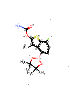 CC1(C)OB(c2ccc(F)c3sc(OC(N)=O)c(C#N)c23)OC1(C)C